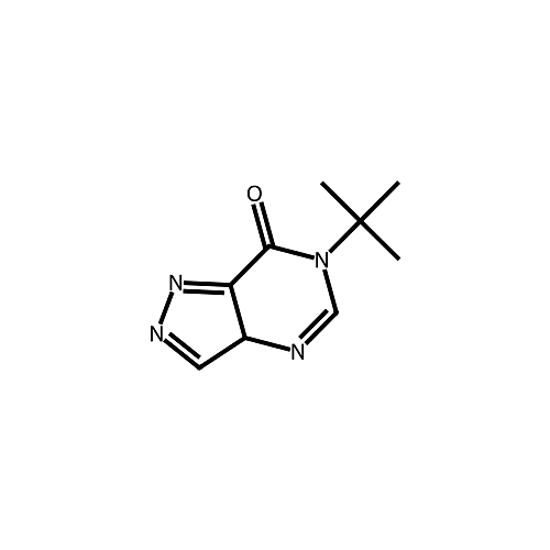 CC(C)(C)N1C=NC2C=NN=C2C1=O